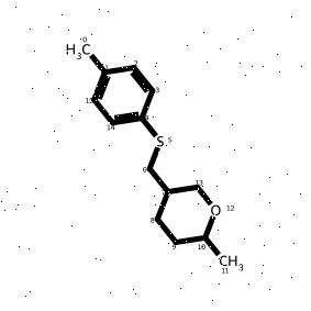 Cc1ccc(SCC2CCC(C)OC2)cc1